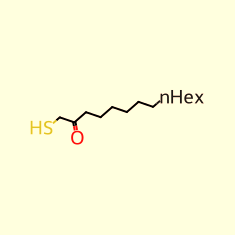 CCCCCCCCCCCCC(=O)CS